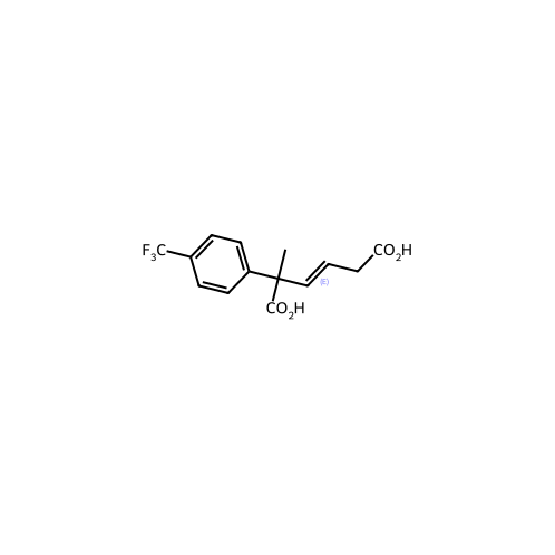 CC(/C=C/CC(=O)O)(C(=O)O)c1ccc(C(F)(F)F)cc1